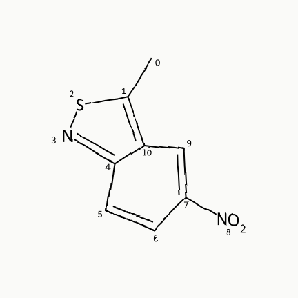 Cc1snc2ccc([N+](=O)[O-])cc12